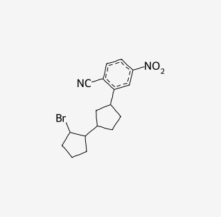 N#Cc1ccc([N+](=O)[O-])cc1C1CCC(C2CCCC2Br)C1